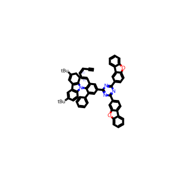 C#C/C=C\C=C\c1cc(-c2nc(-c3ccc4c(c3)oc3ccccc34)nc(-c3ccc4oc5ccccc5c4c3)n2)cc(-c2ccccc2)c1-n1c2c(c3cc(C(C)(C)C)ccc31)C=C(C(C)(C)C)CC2